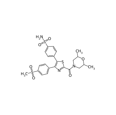 CC1CN(C(=O)c2nc(-c3ccc(S(C)(=O)=O)cc3)c(-c3ccc(S(N)(=O)=O)cc3)s2)CC(C)O1